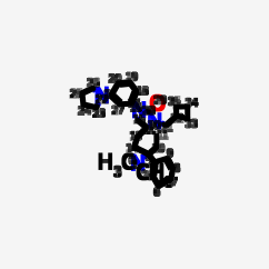 CN(C)[C@]1(c2ccccc2)CC[C@]2(CC1)CN(c1cccc(N3CCCC3)c1)C(=O)N2CC1CCC1